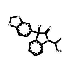 CCCCC(C)N1C(=O)C(O)(c2ccc3c(c2)OCO3)c2ccccc21